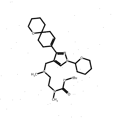 CN(CCN(C)C(=O)OC(C)(C)C)Cc1cn(C2CCCCO2)nc1C1=CCC2(CCCCO2)CC1